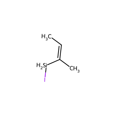 CC=C(C)[SiH2]I